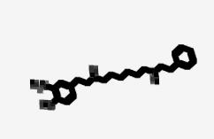 Nc1cc(CCNCCCCCCNCCc2ccccc2)ccc1O